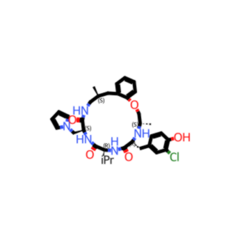 CC(C)[C@H]1NC(=O)[C@@H](Cc2ccc(O)c(Cl)c2)N[C@@H](C)COc2ccccc2C[C@H](C)CNC(=O)[C@H](Cn2cccc2)NC1=O